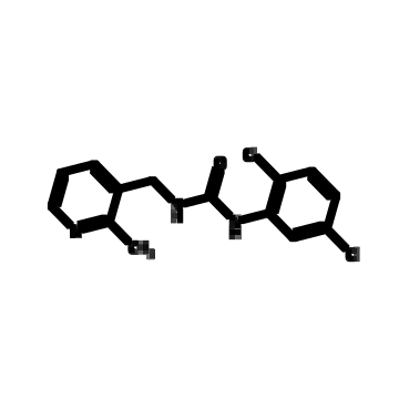 Cc1ncccc1CNC(=O)Nc1cc(Cl)ccc1Cl